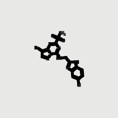 CS(=O)(=O)c1nc(NCc2nc3cc(Cl)ccc3[nH]2)n2ncc(Br)c2n1